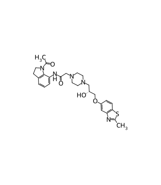 CC(=O)N1CCc2cccc(NC(=O)CN3CCN(C[C@@H](O)COc4ccc5sc(C)nc5c4)CC3)c21